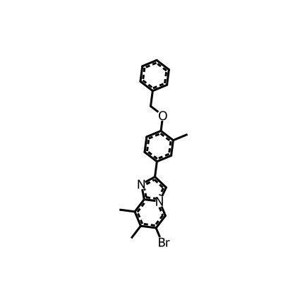 Cc1cc(-c2cn3cc(Br)c(C)c(C)c3n2)ccc1OCc1ccccc1